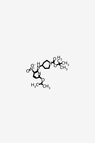 CC(C)Oc1ccc([N+](=O)[O-])c(NC2CCN(C(=O)OC(C)(C)C)CC2)n1